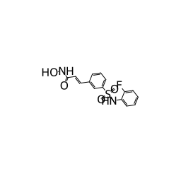 O=C(C=Cc1cccc(S(=O)(=O)Nc2ccccc2F)c1)NO